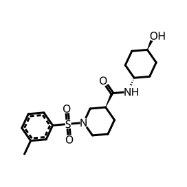 Cc1cccc(S(=O)(=O)N2CCC[C@H](C(=O)N[C@H]3CC[C@H](O)CC3)C2)c1